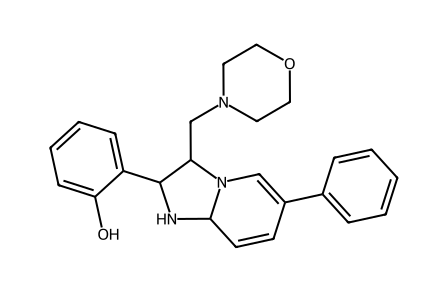 Oc1ccccc1C1NC2C=CC(c3ccccc3)=CN2C1CN1CCOCC1